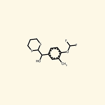 Cc1cc(C(O)C2SCCCS2)ccc1OC(F)F